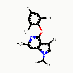 CCCc1cc(C)c(Oc2nc(C)cc3c2c(CC)cn3C(CC)CC)c(C)c1